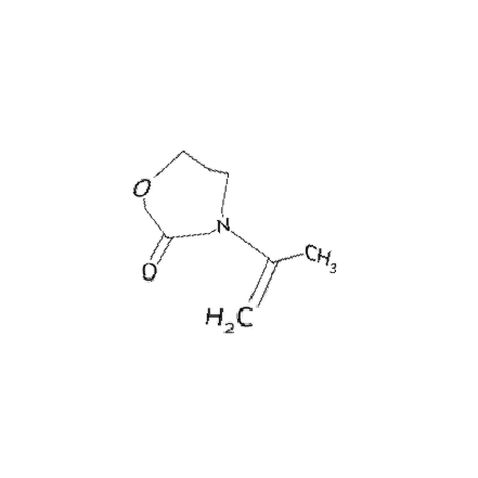 C=C(C)N1CCOC1=O